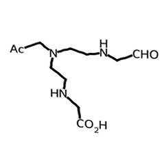 CC(=O)CN(CCNCC=O)CCNCC(=O)O